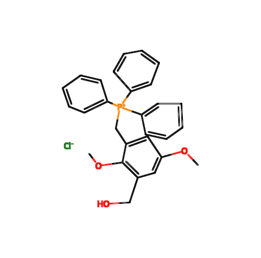 COc1cc(CO)c(OC)c(C[P+](c2ccccc2)(c2ccccc2)c2ccccc2)c1.[Cl-]